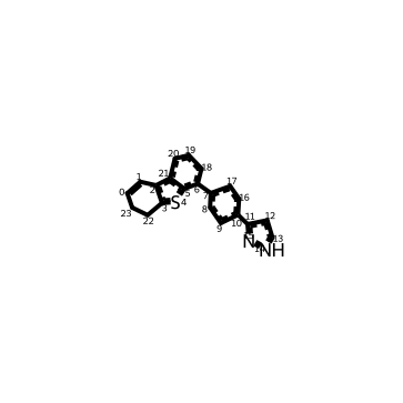 C1=Cc2c(sc3c(-c4ccc(-c5cc[nH]n5)cc4)cccc23)CC1